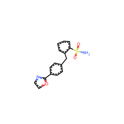 NS(=O)(=O)c1ccccc1Cc1ccc(-c2ncco2)cc1